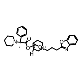 C[C@@](C(=O)O[C@H]1C[N+]2(CCCc3nc4ccccc4o3)CCC1CC2)(c1ccccc1)N1CCCCC1